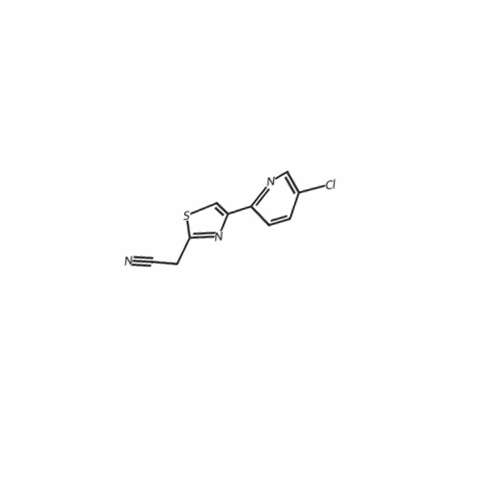 N#CCc1nc(-c2ccc(Cl)cn2)cs1